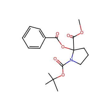 COC(=O)C1(OC(=O)c2ccccc2)CCCN1C(=O)OC(C)(C)C